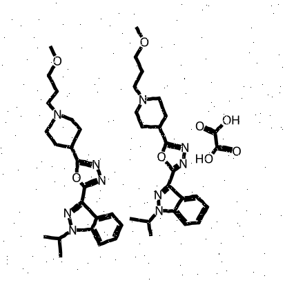 COCCCN1CCC(c2nnc(-c3nn(C(C)C)c4ccccc34)o2)CC1.COCCCN1CCC(c2nnc(-c3nn(C(C)C)c4ccccc34)o2)CC1.O=C(O)C(=O)O